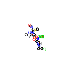 Cl.Cl.O=C(NS(=O)(=O)c1ccc(N[C@@H](CCN2CCOCC2)CSc2ccccc2)c([N+](=O)[O-])c1)c1ccc2c(c1)CC[C@H]1CN(Cc3ccccc3-c3ccc(Cl)cc3)CCN21